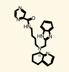 O=C(NCCCCN(Cc1nc2ccccc2[nH]1)[C@H]1CCCc2cccnc21)c1cnccn1